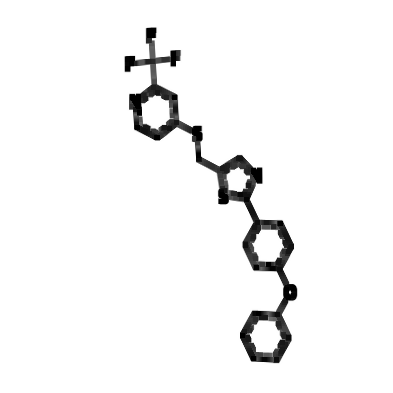 FC(F)(F)c1cc(SCc2cnc(-c3ccc(Oc4ccccc4)cc3)s2)ccn1